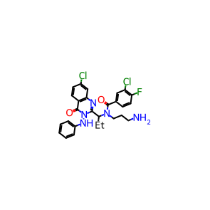 CCC(c1nc2cc(Cl)ccc2c(=O)n1Nc1ccccc1)N(CCCN)C(=O)c1ccc(F)c(Cl)c1